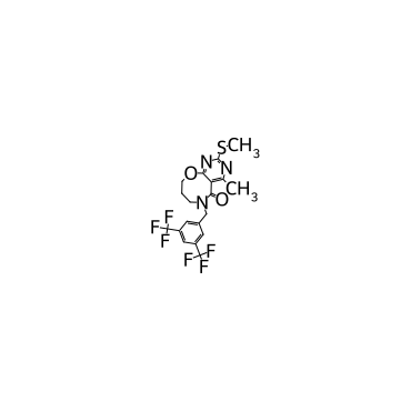 CSc1nc(C)c2c(n1)OCCCN(Cc1cc(C(F)(F)F)cc(C(F)(F)F)c1)C2=O